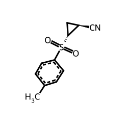 Cc1ccc(S(=O)(=O)[C@@H]2C[C@H]2C#N)cc1